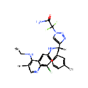 [2H]C(Nc1cc(Cl)c2ncc(C#N)c(NCC(C)(C)C)c2c1)(c1cccc(C#N)c1)c1cn(C(F)(F)C(N)=O)nn1